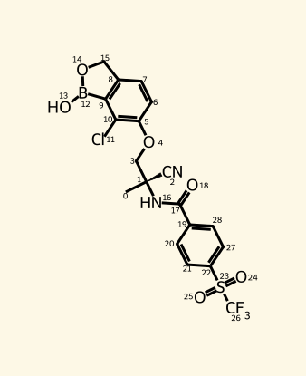 C[C@](C#N)(COc1ccc2c(c1Cl)B(O)OC2)NC(=O)c1ccc(S(=O)(=O)C(F)(F)F)cc1